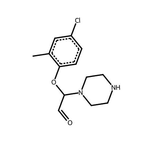 Cc1cc(Cl)ccc1OC(C=O)N1CCNCC1